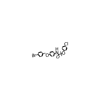 CC(C)(Oc1ccc(Cl)cc1)C(=O)Nc1ccc(OCc2ccc(Br)cc2)cc1